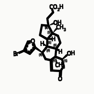 C[C@@]12C(=CC(=O)C[C@@H]1O)C[C@@H](c1cc(Br)co1)[C@@H]1[C@@H]2CC[C@@]2(C)[C@H]1CC[C@@]2(O)CCC(=O)O